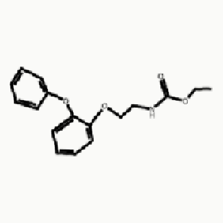 CCOC(=O)NCCOc1ccccc1Oc1ccccc1